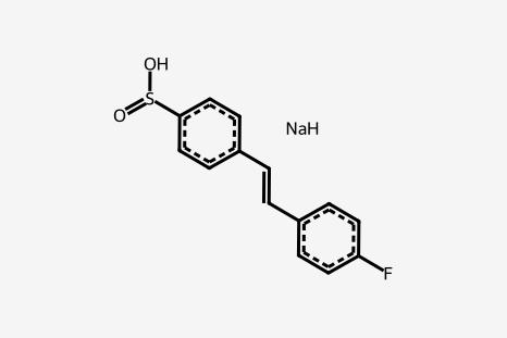 O=S(O)c1ccc(C=Cc2ccc(F)cc2)cc1.[NaH]